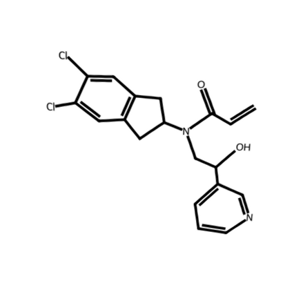 C=CC(=O)N(CC(O)c1cccnc1)C1Cc2cc(Cl)c(Cl)cc2C1